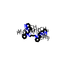 CN1C(=CC2=[N+](CCCC[N+]3=C(C=C4N(C)c5ncccc5C4(C)C)C(C)(C)c4ccccc43)c3ccccc3C2(C)C)C(C)(C)c2cccnc21